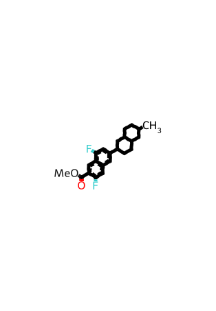 COC(=O)c1cc2c(F)cc(C3CCC4CC(C)CCC4C3)cc2cc1F